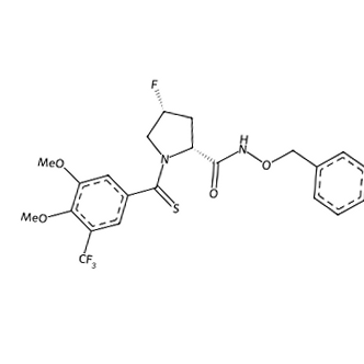 COc1cc(C(=S)N2C[C@H](F)C[C@@H]2C(=O)NOCc2ccccc2)cc(C(F)(F)F)c1OC